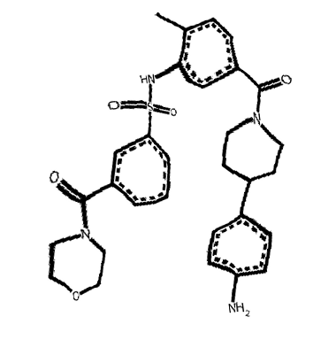 Cc1ccc(C(=O)N2CCC(c3ccc(N)cc3)CC2)cc1NS(=O)(=O)c1cccc(C(=O)N2CCOCC2)c1